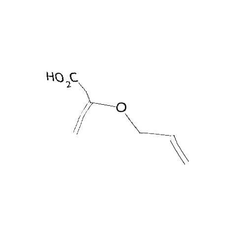 C=CCOC(=C)C(=O)O